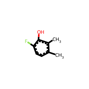 Cc1ccc(F)c(O)c1C